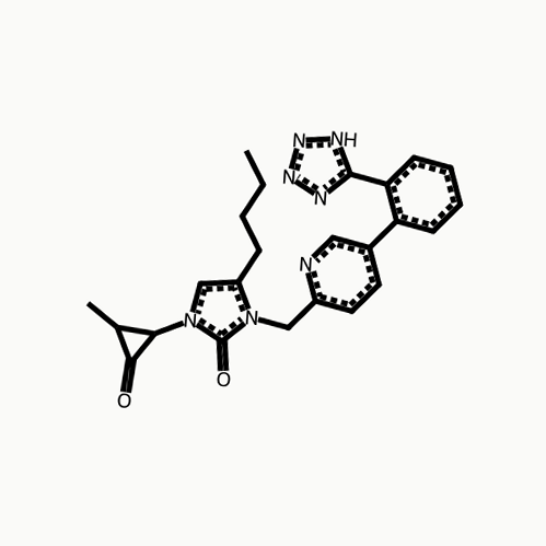 CCCCc1cn(C2C(=O)C2C)c(=O)n1Cc1ccc(-c2ccccc2-c2nnn[nH]2)cn1